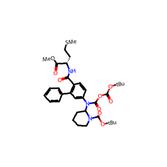 COC(=O)[C@H](CCSC)NC(=O)c1ccc(N(C(=O)OC(=O)OC(C)(C)C)C2CCCCN2C(=O)OC(C)(C)C)cc1-c1ccccc1